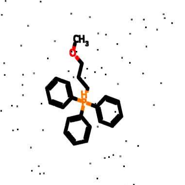 COCCC[PH](c1ccccc1)(c1ccccc1)c1ccccc1